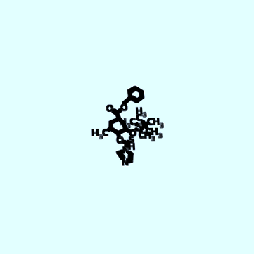 CC1CC(C(=O)OCc2ccccc2)CC(O[Si](C)(C)C(C)(C)C)C1OC(S)n1ccnc1